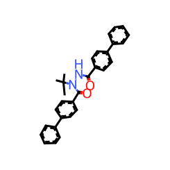 CC(C)(C)N(NC(=O)c1ccc(-c2ccccc2)cc1)C(=O)c1ccc(-c2ccccc2)cc1